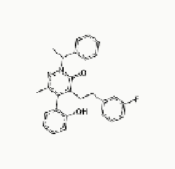 Cc1nn(C(C)c2ccccc2)c(=O)c(CCc2cccc(F)c2)c1-c1ccccc1O